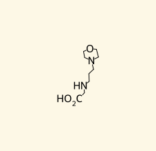 O=C(O)CNCCCN1CCOCC1